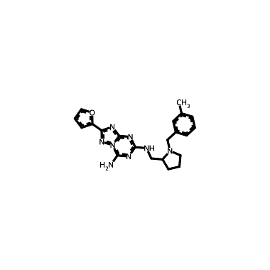 Cc1cccc(CN2CCCC2CNc2nc(N)n3nc(-c4ccco4)nc3n2)c1